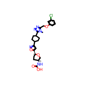 Cn1c(COc2cccc(Cl)c2)nnc1C1CCC(c2cc([C@@H]3CC[C@@H](NC(=O)O)CO3)on2)CC1